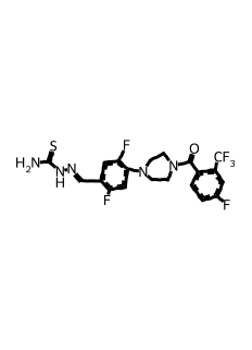 NC(=S)NN=Cc1cc(F)c(N2CCN(C(=O)c3ccc(F)cc3C(F)(F)F)CC2)cc1F